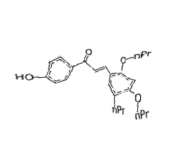 CCCOc1cc(OCCC)c(CCC)cc1C=CC(=O)c1ccc(O)cc1